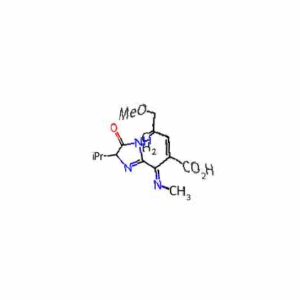 C=C(/C=C(C(=O)O)\C(=N/C)C1=NC(C(C)C)C(=O)N1)COC